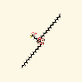 CCCCCCCCCCCCCCCCCC(=O)O[Si](C)(CCCC)OC(=O)CCCCCCCCCCCCCCCCC.OC=S